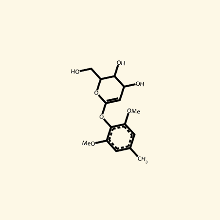 COc1cc(C)cc(OC)c1OC1=CC(O)C(O)C(CO)O1